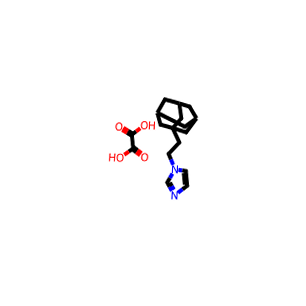 O=C(O)C(=O)O.c1cn(CCC23CC4CC(CC(C4)C2)C3)cn1